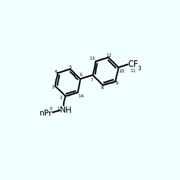 CCCNc1cccc(-c2ccc(C(F)(F)F)cc2)c1